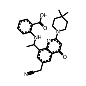 CC(Nc1ccccc1C(=O)O)c1cc(CC#N)cc2c(=O)cc(N3CCC(C)(C)CC3)oc12